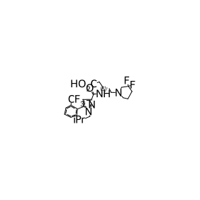 CC(C)Cn1nc(C(=O)N[C@@H](CCN2CCCC(F)(F)C2)CC(=O)O)cc1-c1ccccc1C(F)(F)F